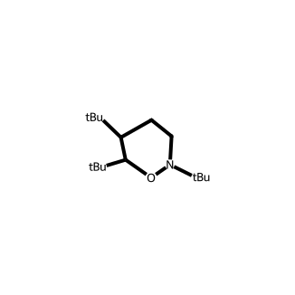 CC(C)(C)C1CCN(C(C)(C)C)OC1C(C)(C)C